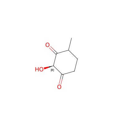 CC1CCC(=O)[C@@H](O)C1=O